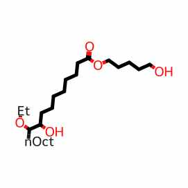 CCCCCCCCC(OCC)C(O)CCCCCCCC(=O)OCCCCCO